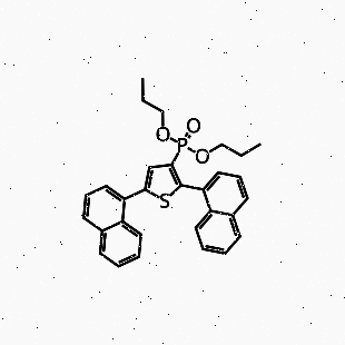 CCCOP(=O)(OCCC)c1cc(-c2cccc3ccccc23)sc1-c1cccc2ccccc12